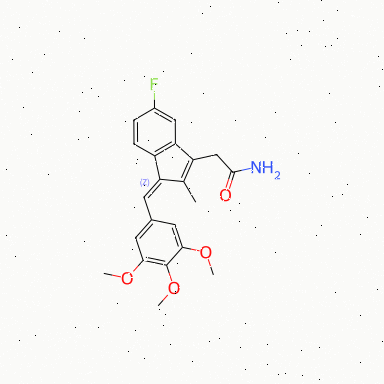 COc1cc(/C=C2\C(C)=C(CC(N)=O)c3cc(F)ccc32)cc(OC)c1OC